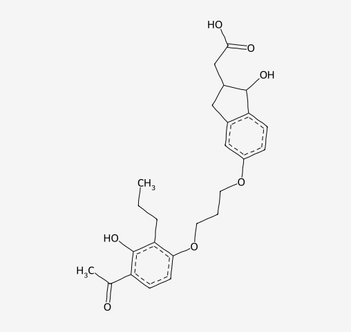 CCCc1c(OCCCOc2ccc3c(c2)CC(CC(=O)O)C3O)ccc(C(C)=O)c1O